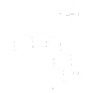 Cc1ccc([O][Sb](=[O])([O-])[O]c2ccc(CC(C)C)cc2)cc1.[F][Sb-]([F])([F])([F])([F])[F].[IH2+].[IH2+]